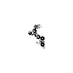 CC1(c2ccc(Cl)cc2F)Oc2cccc(C3CCN(Cc4nc5cc(-c6nnc(C(F)(F)F)[nH]6)cnc5n4C[C@H]4CCOC4)CC3)c2O1